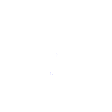 C=CCN(CC=C)ON(CC=C)CC=C